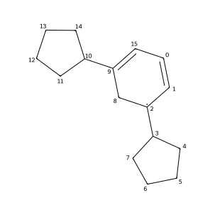 C1=C[C](C2CCCC2)CC(C2CCCC2)=C1